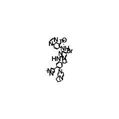 COc1cc(N2CCN3CCCC3C2)c(-c2cnn(C)c2)cc1Nc1ncc(Br)c(Nc2ccc3nccnc3c2P(C)(C)=O)n1